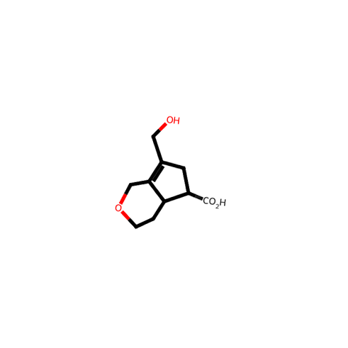 O=C(O)C1CC(CO)=C2COCCC21